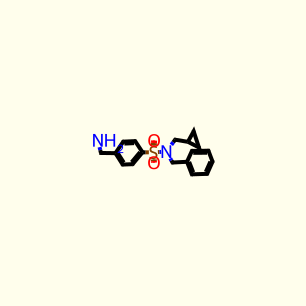 NCc1ccc(S(=O)(=O)N(Cc2ccccc2)CC2CC2)cc1